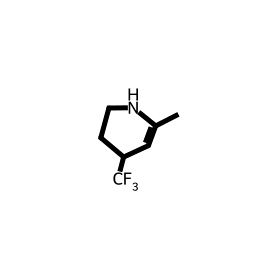 CC1=CC(C(F)(F)F)CCN1